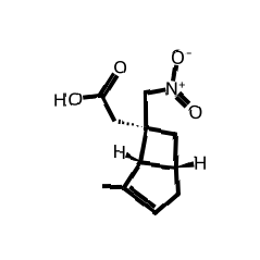 CC1=CC[C@H]2C[C@](CC(=O)O)(C[N+](=O)[O-])[C@@H]12